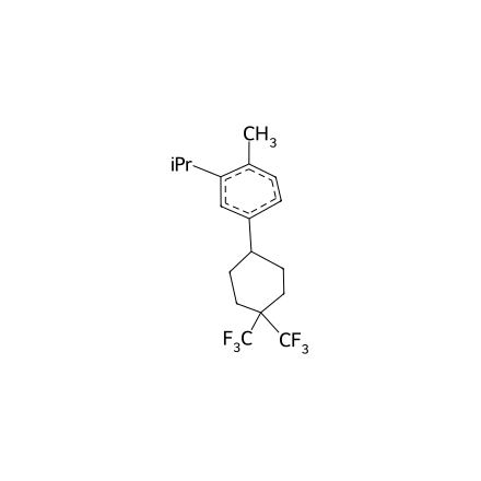 Cc1ccc(C2CCC(C(F)(F)F)(C(F)(F)F)CC2)cc1C(C)C